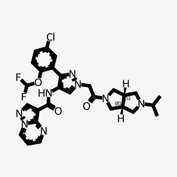 CC(C)N1C[C@H]2CN(C(=O)Cn3cc(NC(=O)c4cnn5cccnc45)c(-c4cc(Cl)ccc4OC(F)F)n3)C[C@H]2C1